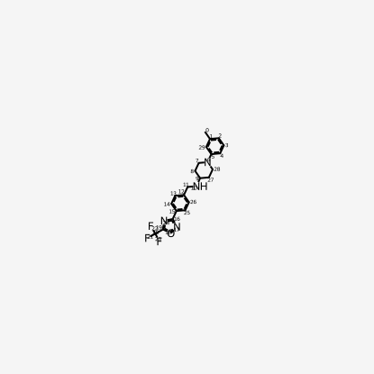 Cc1cccc(N2CCC(NCc3ccc(-c4noc(C(F)(F)F)n4)cc3)CC2)c1